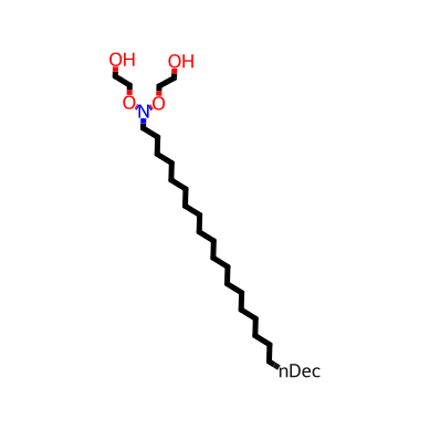 CCCCCCCCCCCCCCCCCCCCCCCCCCCCCN(OCCO)OCCO